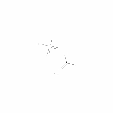 CC(=O)O.N.O=S(=O)(O)S